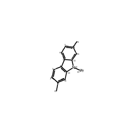 Cc1ccc2c3ccc(C)cc3n(C(C)C)c2c1